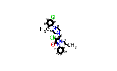 CCCn1c(CN2CCN(c3cc(Cl)ccc3C)CC2)c(Cl)c(=O)n1-c1ccccc1